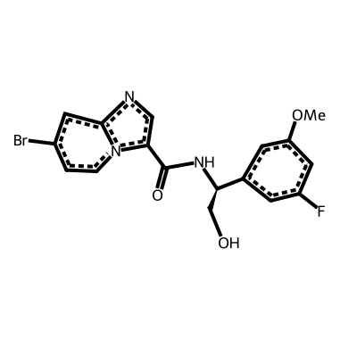 COc1cc(F)cc([C@@H](CO)NC(=O)c2cnc3cc(Br)ccn23)c1